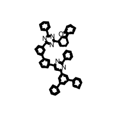 C1=C(c2nc(-c3ccccc3)nc(-c3cccc(-c4cccc(-c5cc(-c6cc(-c7ccccc7)cc(-c7ccccc7)c6)nc(-c6ccccc6)n5)c4)c3)n2)c2oc3ccccc3c2CC1